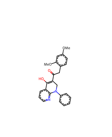 COc1ccc(CC(=O)C2=C(O)c3cccnc3N(c3ccccc3)C2)c(OC)c1